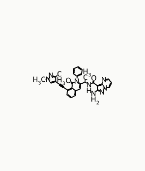 Cc1nn(C)cc1C#Cc1cccc2cc([C@@H](C)NC(=O)c3c(N)nn4cccnc34)n(-c3ccccc3)c(=O)c12